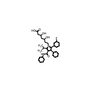 CC(C)c1c(C(=O)Nc2ccccc2)c(-c2ccccc2)c(-c2cccc(F)c2)n1CCC(O)CC(O)CC(=O)O